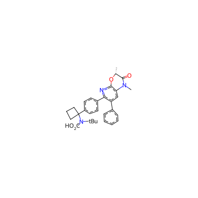 C[C@H]1Oc2nc(-c3ccc(C4(N(C(=O)O)C(C)(C)C)CCC4)cc3)c(-c3ccccc3)cc2N(C)C1=O